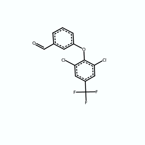 O=Cc1cccc(Oc2c(Cl)cc(C(F)(F)F)cc2Cl)c1